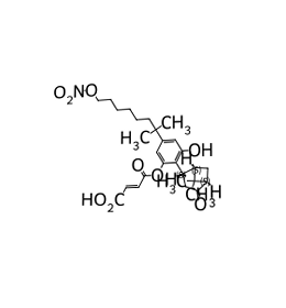 CC(C)(CCCCCCO[N+](=O)[O-])c1cc(O)c([C@H]2CC(=O)[C@H]3C[C@@H]2C3(C)C)c(OC(=O)C=CC(=O)O)c1